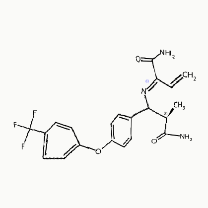 C=C/C(=N\C(c1ccc(Oc2ccc(C(F)(F)F)cc2)cc1)[C@@H](C)C(N)=O)C(N)=O